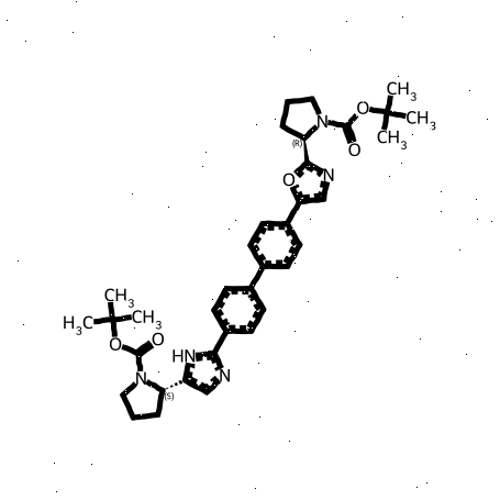 CC(C)(C)OC(=O)N1CCC[C@@H]1c1ncc(-c2ccc(-c3ccc(-c4ncc([C@@H]5CCCN5C(=O)OC(C)(C)C)[nH]4)cc3)cc2)o1